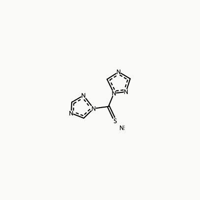 S=C(n1cncn1)n1cncn1.[N]